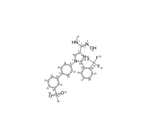 CN/C(=N/O)c1cn(-c2ccc(-c3cccc(S(C)(=O)=O)c3)cc2)c(-c2ccccc2C(F)(F)F)n1